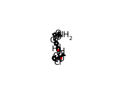 NS(=O)(=O)C1CCC[C@H]1OC(=O)c1ccc(N2C[C@@H]3C[C@H]2C[C@H]3OCc2c(-c3c(Cl)cccc3Cl)noc2C2CC2)cc1